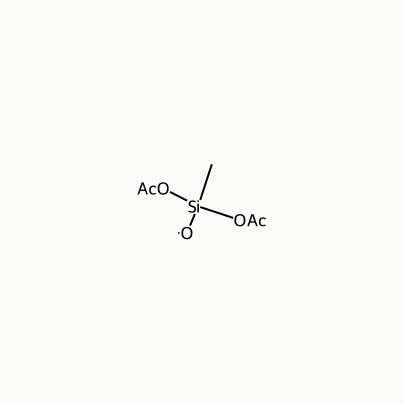 CC(=O)O[Si](C)([O])OC(C)=O